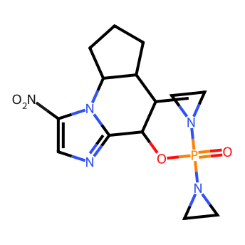 CC1C(OP(=O)(N2CC2)N2CC2)c2ncc([N+](=O)[O-])n2C2CCCC12